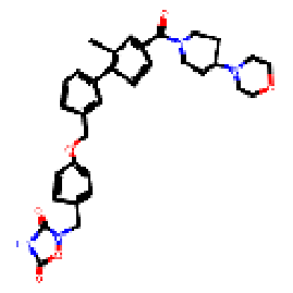 Cc1cc(C(=O)N2CCC(N3CCOCC3)CC2)ccc1-c1cccc(COc2ccc(Cn3oc(=O)[nH]c3=O)cc2)c1